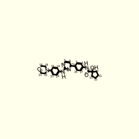 O=C(Nc1ccc(-c2ccnc(Nc3ccc(N4CCOCC4)cc3)n2)cc1)C1(O)CCCC1